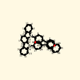 c1ccc(-c2ccc(-n3c4ccccc4c4ccc5c6ccccc6n(-c6ccc(-c7ccc8ccccc8c7)cc6)c5c43)cc2)cc1